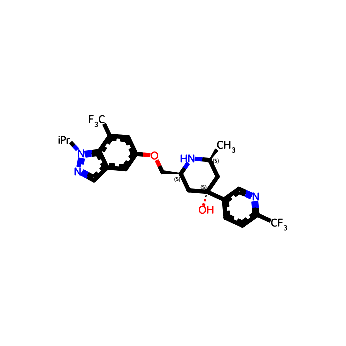 CC(C)n1ncc2cc(OC[C@@H]3C[C@](O)(c4ccc(C(F)(F)F)nc4)C[C@H](C)N3)cc(C(F)(F)F)c21